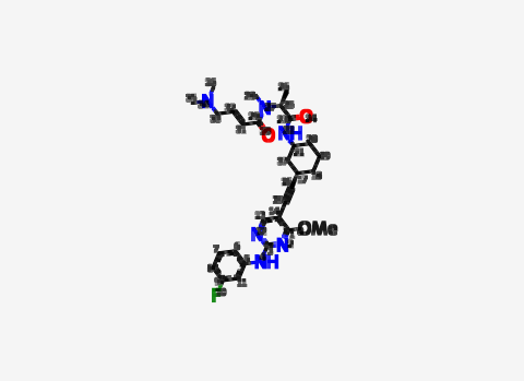 COc1nc(Nc2cccc(F)c2)ncc1C#C[C@@H]1CCC[C@H](NC(=O)[C@H](C)N(C)C(=O)/C=C/CN(C)C)C1